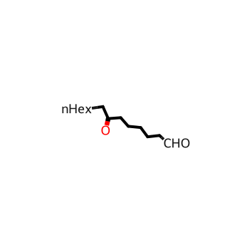 CCCCCCCC(=O)CCCCCC=O